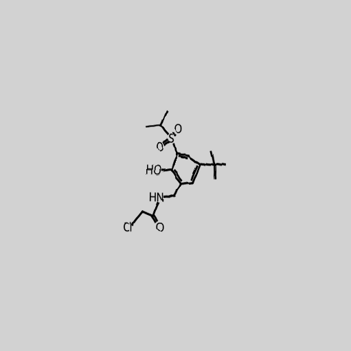 CC(C)S(=O)(=O)c1cc(C(C)(C)C)cc(CNC(=O)CCl)c1O